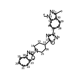 Cc1nn(C)c2cc(-c3noc(C4CCN(c5nc6ccccc6o5)CC4)n3)ccc12